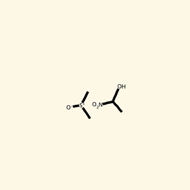 CC(O)[N+](=O)[O-].C[S+](C)[O-]